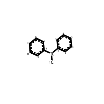 [Cl][Tl]([c]1ccccc1)[c]1ccccc1